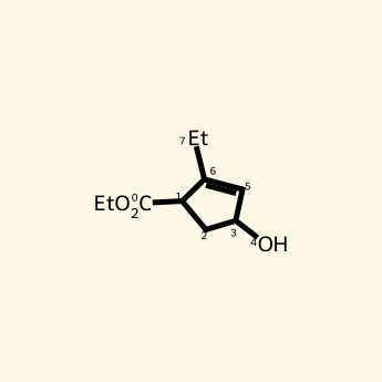 CCOC(=O)C1CC(O)C=C1CC